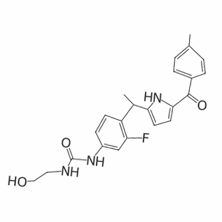 Cc1ccc(C(=O)c2ccc(C(C)c3ccc(NC(=O)NCCO)cc3F)[nH]2)cc1